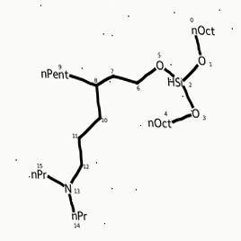 CCCCCCCCO[SiH](OCCCCCCCC)OCCC(CCCCC)CCCN(CCC)CCC